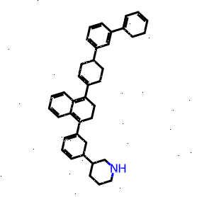 C1=CCCC(c2cccc(C3CC=C(C4=c5ccccc5=C(C5=CC=CC(C6CCCNC6)C5)CC4)CC3)c2)=C1